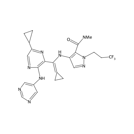 CNC(=O)c1c(NC(=C2CC2)c2nc(C3CC3)cnc2Nc2cncnc2)cnn1CCC(F)(F)F